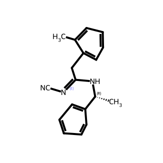 Cc1ccccc1C/C(=N\C#N)N[C@H](C)c1ccccc1